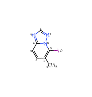 Cc1ccc2ncnn2c1I